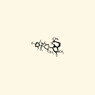 BC(B)(c1c(F)cc(F)cc1F)N1C[C@H](C)N(c2cc(=O)n(C)c3ccc(C#N)nc23)C[C@H]1C